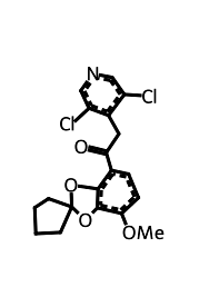 COc1ccc(C(=O)Cc2c(Cl)cncc2Cl)c2c1OC1(CCCC1)O2